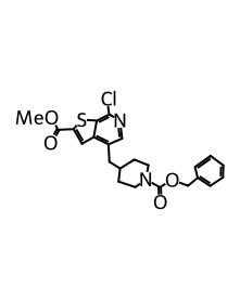 COC(=O)c1cc2c(CC3CCN(C(=O)OCc4ccccc4)CC3)cnc(Cl)c2s1